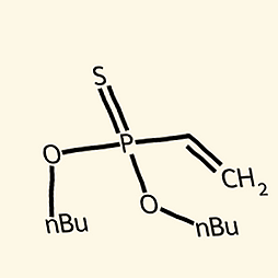 C=CP(=S)(OCCCC)OCCCC